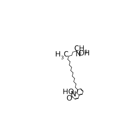 CC(CCC(C)CCCCCCCCCCCc1cccc2ccc(=O)n(O)c12)=NO